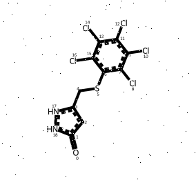 O=c1cc(CSc2c(Cl)c(Cl)c(Cl)c(Cl)c2Cl)[nH][nH]1